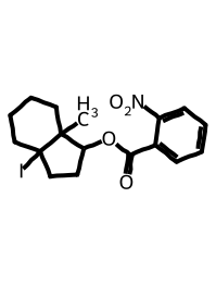 CC12CCCCC1(I)CCC2OC(=O)c1ccccc1[N+](=O)[O-]